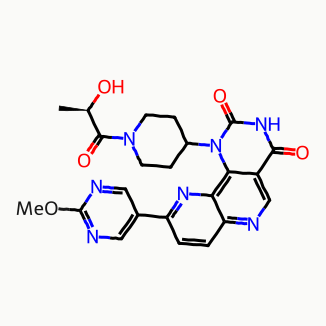 COc1ncc(-c2ccc3ncc4c(=O)[nH]c(=O)n(C5CCN(C(=O)[C@@H](C)O)CC5)c4c3n2)cn1